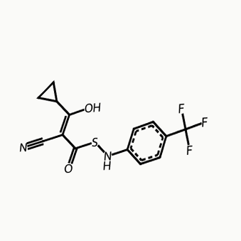 N#CC(C(=O)SNc1ccc(C(F)(F)F)cc1)=C(O)C1CC1